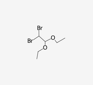 CCOC(OCC)C(Br)Br